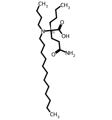 CCCCCCCCCCCCN(CCCC)[C@@](CCCC)(CCC(N)=O)C(=O)O